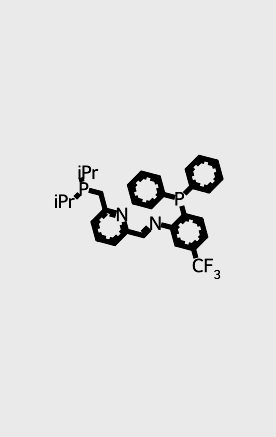 CC(C)P(Cc1cccc(C=Nc2cc(C(F)(F)F)ccc2P(c2ccccc2)c2ccccc2)n1)C(C)C